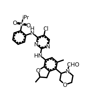 Cc1cc(Nc2ncc(Cl)c(Nc3ccccc3S(=O)(=O)C(C)C)n2)c2c(c1C1COCCN1C=O)CC(C)O2